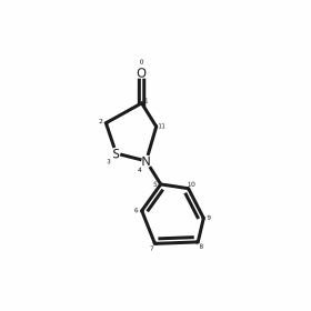 O=C1CSN(c2ccccc2)C1